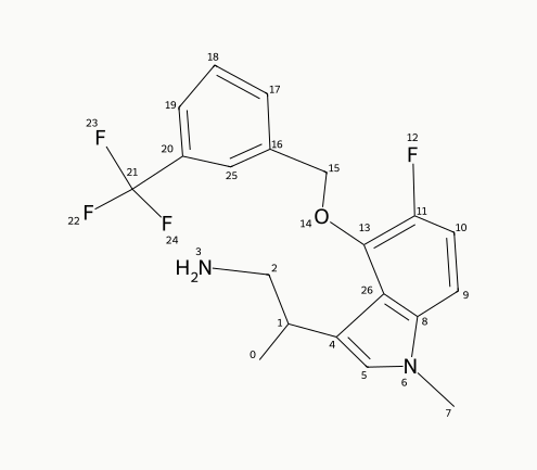 CC(CN)c1cn(C)c2ccc(F)c(OCc3cccc(C(F)(F)F)c3)c12